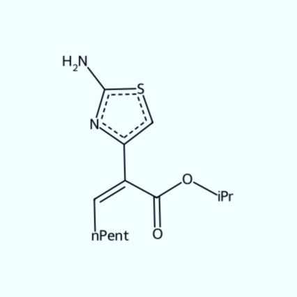 CCCCCC=C(C(=O)OC(C)C)c1csc(N)n1